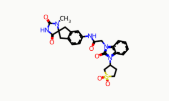 CN1C(=O)NC(=O)C12Cc1ccc(NC(=O)Cn3c(=O)n(C4CCS(=O)(=O)C4)c4ccccc43)cc1C2